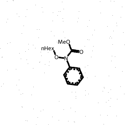 [CH2]OC(=O)N(OCCCCCC)c1ccccc1